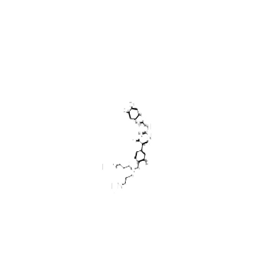 NCCCN(CCCN)Cc1ccc(-c2c[nH]c(Nc3nc4cc(F)c(F)cc4o3)nc2=O)cc1F